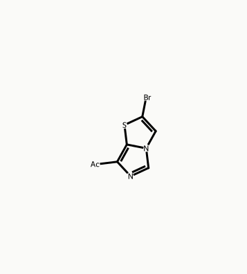 CC(=O)c1ncn2cc(Br)sc12